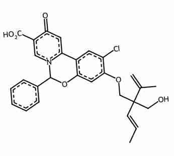 C=C(C)C(/C=C/C)(CO)COc1cc2c(cc1Cl)-c1cc(=O)c(C(=O)O)cn1C(c1ccccc1)O2